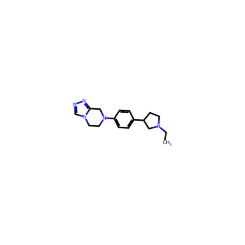 CCN1CCC(c2ccc(N3CCn4cnnc4C3)cc2)C1